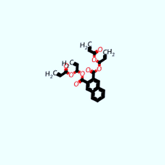 C=CC(=O)OC(C=C)OC(=O)c1cc2ccccc2cc1C(=O)OC(C=C)OC(=O)C=C